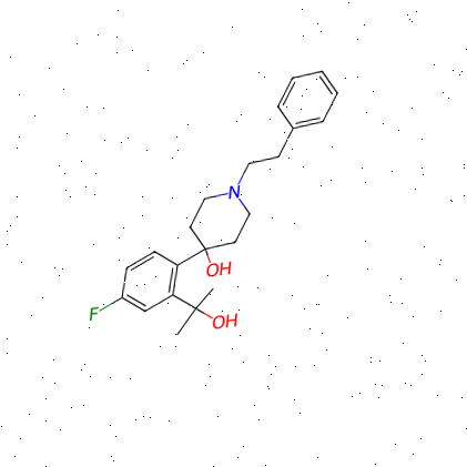 CC(C)(O)c1cc(F)ccc1C1(O)CCN(CCc2ccccc2)CC1